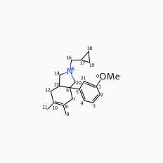 COc1cccc(C23CC(C)=C(C)CC2CN(CC2CC2)C3)c1